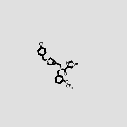 Cn1cnc(C(=O)N(Cc2cccc(OC(F)(F)F)c2)CC2C3CN(Cc4ccc(Cl)cc4)CC32)c1